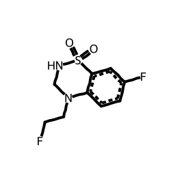 O=S1(=O)NCN(CCF)c2ccc(F)cc21